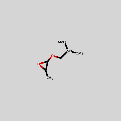 CO[SiH](COC1OC1C)OC